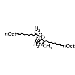 CCCCCCCCC=CCCCCCCC(C)C(=O)N1CCN=C1C(=O)C(CCCCCCC=CCCCCCCCC)C(C)N